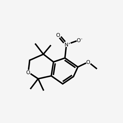 COc1ccc2c(c1[N+](=O)[O-])C(C)(C)COC2(C)C